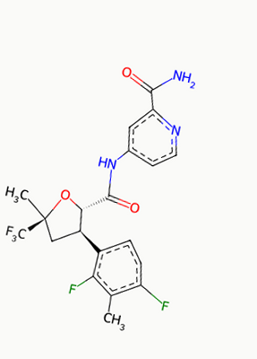 Cc1c(F)ccc([C@H]2C[C@@](C)(C(F)(F)F)O[C@@H]2C(=O)Nc2ccnc(C(N)=O)c2)c1F